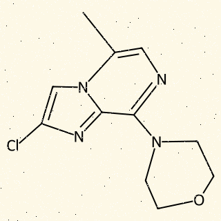 Cc1cnc(N2CCOCC2)c2nc(Cl)cn12